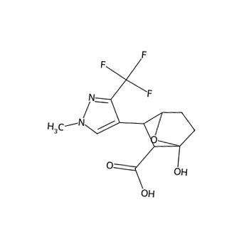 Cn1cc(C2C3CCC(O)(O3)C2C(=O)O)c(C(F)(F)F)n1